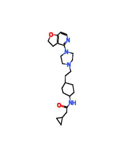 O=C(CC1CC1)NC1CCC(CCN2CCN(c3nccc4c3CCO4)CC2)CC1